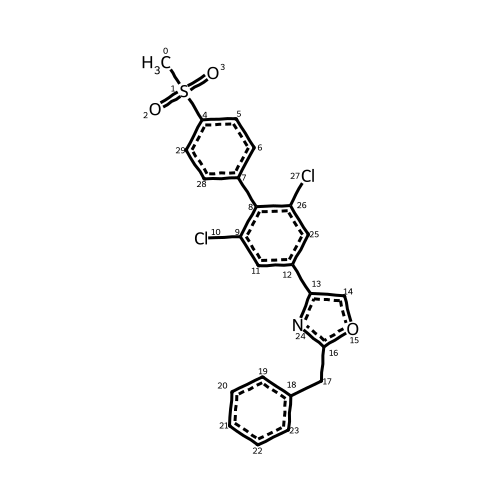 CS(=O)(=O)c1ccc(-c2c(Cl)cc(-c3coc(Cc4ccccc4)n3)cc2Cl)cc1